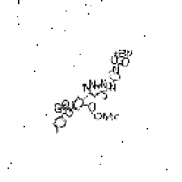 COCOc1cc(OS(=O)(=O)c2ccc(C)cc2)ccc1-c1cc2sc(N(C)C3CCN(C(=O)OC(C)(C)C)CC3)nc2nn1